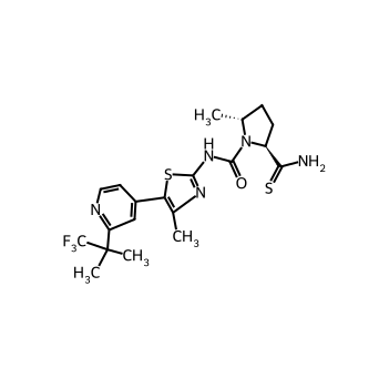 Cc1nc(NC(=O)N2[C@H](C)CC[C@H]2C(N)=S)sc1-c1ccnc(C(C)(C)C(F)(F)F)c1